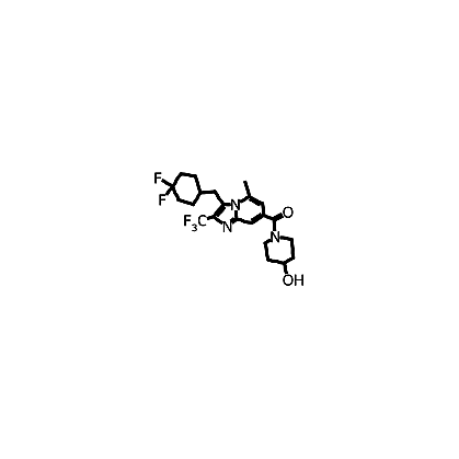 Cc1cc(C(=O)N2CCC(O)CC2)cc2nc(C(F)(F)F)c(CC3CCC(F)(F)CC3)n12